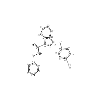 O=C(NCc1ccncc1)c1cn(Cc2ccc(Cl)cc2)c2ncccc12